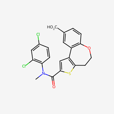 CN(C(=O)c1cc2c(s1)CCOc1ccc(C(=O)O)cc1-2)c1ccc(Cl)cc1Cl